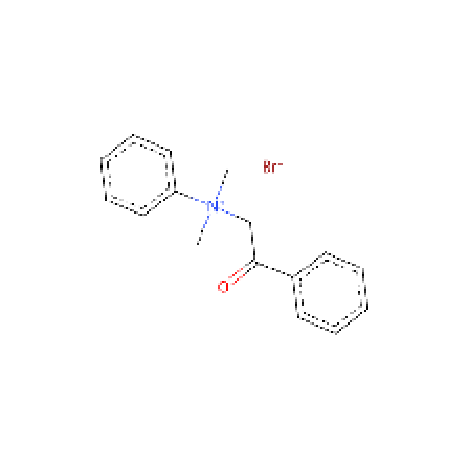 C[N+](C)(CC(=O)c1ccccc1)c1ccccc1.[Br-]